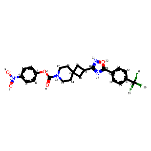 O=C(Oc1ccc([N+](=O)[O-])cc1)N1CCC2(CC1)CC(c1noc(-c3ccc(C(F)(F)F)cc3)n1)C2